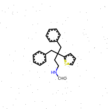 O=CNCCC(Cc1ccccc1)(Cc1ccccc1)c1cccs1